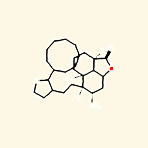 C[C@@H]1C[C@H]2OC(=O)[C@@]3(C)CCC[C@](C)(C23)[C@@]1(O)CCC1CCOC1C1CCCCCCCC1